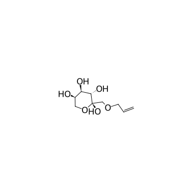 C=CCOC[C@]1(O)OC[C@@H](O)[C@@H](O)[C@@H]1O